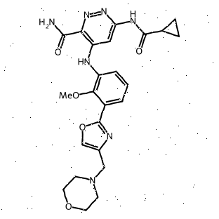 COc1c(Nc2cc(NC(=O)C3CC3)nnc2C(N)=O)cccc1-c1nc(CN2CCOCC2)co1